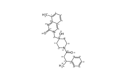 Cc1cccc2cn(CC3(O)CCN(C(=O)CC(C)c4ccccc4)CC3)c(=O)nc12